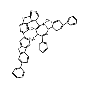 CC1=C(c2cccc3oc4ccc(-c5ccc6c(c5)sc5cc(-c7ccccc7)ccc56)cc4c23)N(C)C(C2C=CC(c3ccccc3)=CC2)N=C(c2ccccc2)C1C